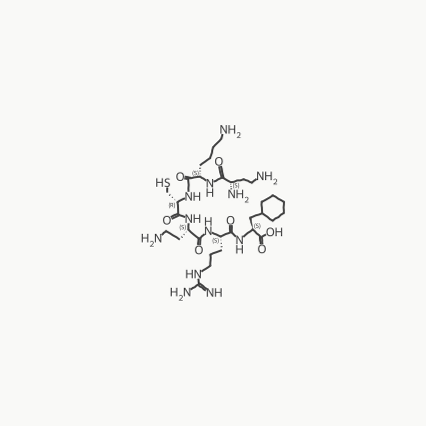 N=C(N)NCCC[C@H](NC(=O)[C@H](CCN)NC(=O)[C@H](CS)NC(=O)[C@H](CCCCN)NC(=O)[C@@H](N)CCN)C(=O)N[C@@H](CC1CCCCC1)C(=O)O